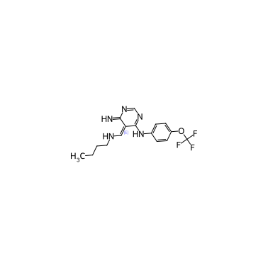 CCCCN/C=C1\C(=N)N=CN=C1Nc1ccc(OC(F)(F)F)cc1